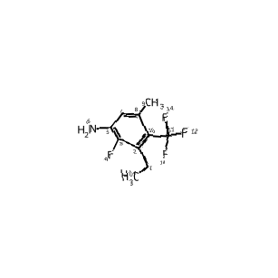 CCc1c(F)c(N)cc(C)c1C(F)(F)F